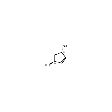 O[C@@H]1C=C[C@@H](O)C1